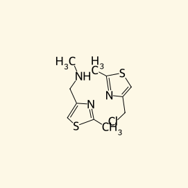 CNCc1csc(C)n1.Cc1nc(CCl)cs1